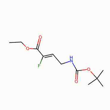 CCOC(=O)C(F)=CCNC(=O)OC(C)(C)C